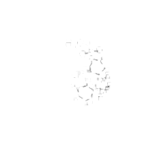 CCS(=O)(=O)c1ccc2c(c1)C(Cl)c1ccccc1C(F)(F)C2(F)F